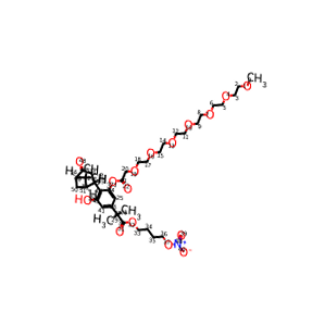 COCCOCCOCCOCCOCCOCCOCC(=O)Oc1cc(C(C)(C)C(=O)OCCCCO[N+](=O)[O-])cc(O)c1[C@@H]1CC(=O)[C@@H]2C[C@H]1C2(C)C